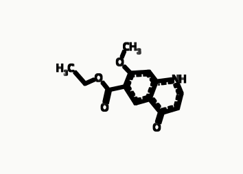 CCOC(=O)c1cc2c(=O)cc[nH]c2cc1OC